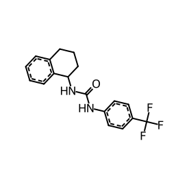 O=C(Nc1ccc(C(F)(F)F)cc1)NC1CCCc2ccccc21